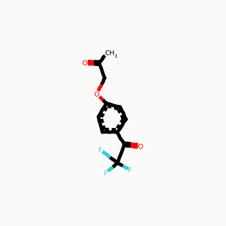 CC(=O)COc1ccc(C(=O)C(F)(F)F)cc1